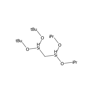 CC(C)O[SiH](C[SiH](OC(C)(C)C)OC(C)(C)C)OC(C)C